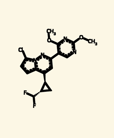 COc1ncc(-c2cc([C@H]3C[C@@H]3C(F)F)c3ccc(Cl)n3n2)c(OC)n1